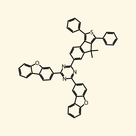 CC1(C)c2cc(-c3nc(-c4ccc5c(c4)oc4ccccc45)nc(-c4ccc5oc6ccccc6c5c4)n3)ccc2-c2c(-c3ccccc3)sc(-c3ccccc3)c21